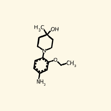 CCOc1cc(N)ccc1N1CCC(C)(O)CC1